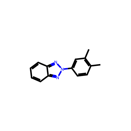 Cc1ccc(-n2nc3ccccc3n2)cc1C